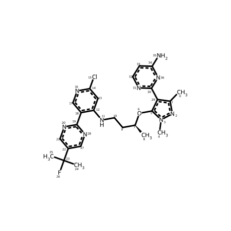 Cc1nn(C)c(O[C@@H](C)CCNc2cc(Cl)ncc2-c2ncc(C(C)(C)F)cn2)c1-c1nccc(N)n1